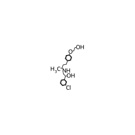 CC(CCc1ccc(OCCO)cc1)NCC(O)c1cccc(Cl)c1